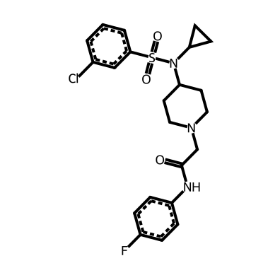 O=C(CN1CCC(N(C2CC2)S(=O)(=O)c2cccc(Cl)c2)CC1)Nc1ccc(F)cc1